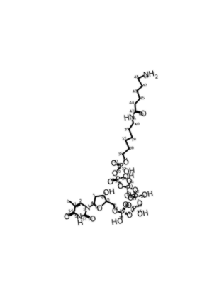 Cc1cn([C@H]2CC(O)C(COP(=O)(O)OP(=O)(O)OP(=O)(O)OP(=O)(O)OP(=O)(O)OP(=O)(O)OCCCCCCNC(=O)CCCCCN)O2)c(=O)[nH]c1=O